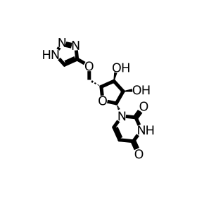 O=c1ccn([C@@H]2O[C@H](COc3c[nH]nn3)[C@@H](O)[C@H]2O)c(=O)[nH]1